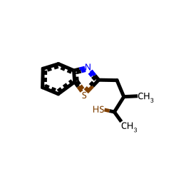 CC(S)C(C)Cc1nc2ccccc2s1